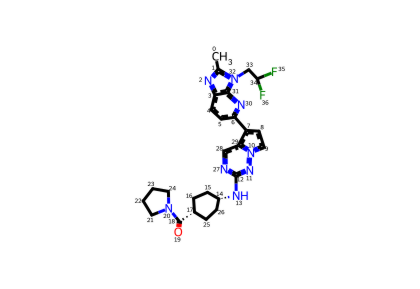 Cc1nc2ccc(-c3ccn4nc(N[C@H]5CC[C@@H](C(=O)N6CCCC6)CC5)ncc34)nc2n1CC(F)F